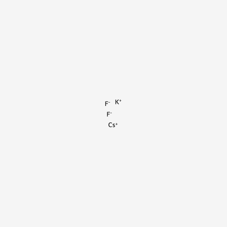 [Cs+].[F-].[F-].[K+]